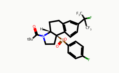 CC(C)(C)C(=O)N1CC[C@@]2(S(=O)(=O)c3ccc(F)cc3)c3ccc(C(F)(C(F)(F)F)C(F)(F)F)cc3CC[C@@H]12